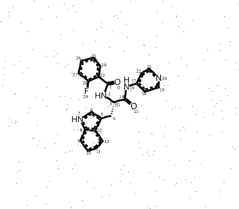 O=C(N[C@@H](Cc1c[nH]c2ccccc12)C(=O)Nc1ccncc1)c1ccccc1F